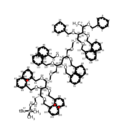 C[C@@H](OCc1ccccc1)[C@@H](OCc1ccccc1)[C@H](OCc1ccccc1)[C@@H](COC[C@@H](OCc1ccccc1)[C@@H](OCc1ccccc1)[C@H](OCc1ccccc1)[C@@H](COC[C@@H](OCc1ccccc1)[C@@H](OCc1ccccc1)[C@H](OCc1ccccc1)[C@@H](COO[Si](C)(C)C(C)(C)C)OCc1ccccc1)OCc1ccccc1)OCc1ccccc1